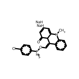 CN1C2=CC=CC(=O)C2C(=CO[PH](=S)c2ccc(Cl)cc2)c2ccccc21.[NaH].[NaH]